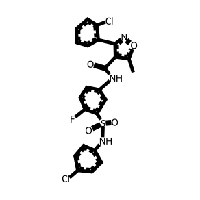 Cc1onc(-c2ccccc2Cl)c1C(=O)Nc1ccc(F)c(S(=O)(=O)Nc2ccc(Cl)cc2)c1